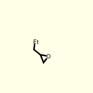 CCCC1[CH]O1